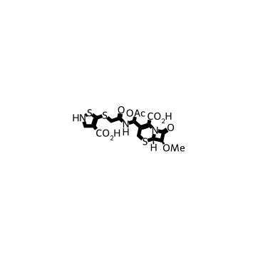 CO[C@@H]1C(=O)N2C(C(=O)O)=C(C(NC(=O)CSC3=C(C(=O)O)CNS3)OC(C)=O)CS[C@H]12